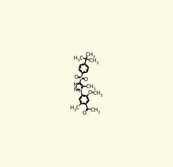 COc1cc(C(C)=O)c(C)cc1-n1nnc(S(=O)(=O)c2ccc(C(C)(C)C)cc2)c1C